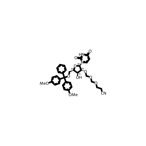 COc1ccc(C(OC[C@H]2O[C@@H](n3ccc(=O)[nH]c3=O)[C@H](OCOCOCCC#N)[C@H]2O)(c2ccccc2)c2ccc(OC)cc2)cc1